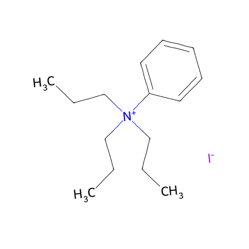 CCC[N+](CCC)(CCC)c1ccccc1.[I-]